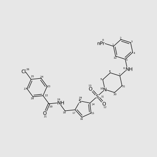 CCCc1cccc(NC2CCN(S(=O)(=O)c3ccc(CNC(=O)c4ccc(Cl)cc4)s3)CC2)c1